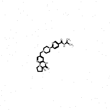 CC(C)NC(=O)c1ccc(N2CCN(Cc3cnc4c(c3)NC(=O)[C@@H]3CCCN43)CC2)nc1